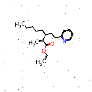 C=COC(=O)C(=C)C(CCCCC)CCc1ccccn1